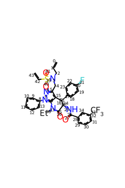 C=CCN(Cc1nn(-c2ccccc2)c2c1[C@@H](c1ccc(F)cc1)[C@@H](NC(=O)c1cccc(C(F)(F)F)c1)C(=O)N2CC)S(=O)(=O)C=C